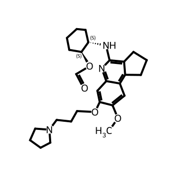 COc1cc2c3c(c(N[C@H]4CCCC[C@@H]4OC=O)nc2cc1OCCCN1CCCC1)CCC3